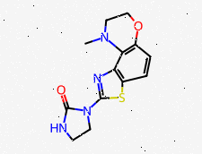 CN1CCOc2ccc3sc(N4CCNC4=O)nc3c21